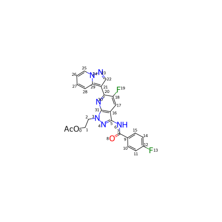 CC(=O)OCCn1nc(NC(=O)c2ccc(F)cc2)c2cc(F)c(-c3cnn4ccccc34)nc21